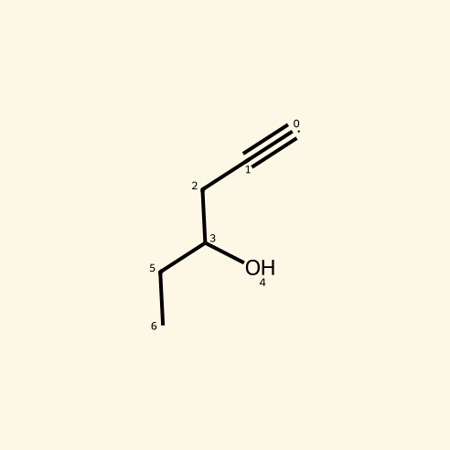 [C]#CCC(O)CC